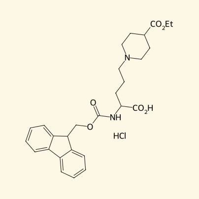 CCOC(=O)C1CCN(CCCC(NC(=O)OCC2c3ccccc3-c3ccccc32)C(=O)O)CC1.Cl